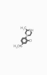 CSc1ccc(N2CCNC(C)C2)c(Cl)c1